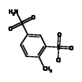 Cc1ccc(S(N)(=O)=O)cc1S(=O)(=O)Cl